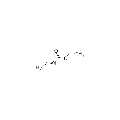 CC=NC(=O)OCC